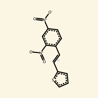 O=[N+]([O-])c1ccc(/C=C/c2cccs2)c([N+](=O)[O-])c1